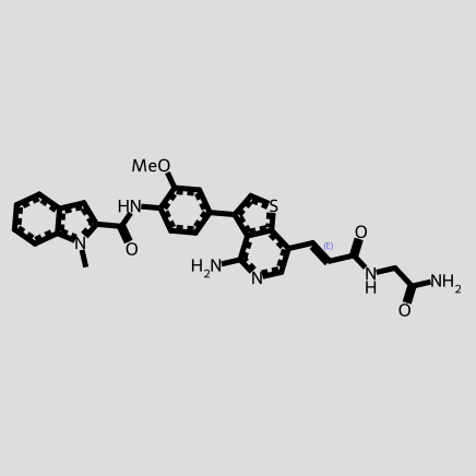 COc1cc(-c2csc3c(/C=C/C(=O)NCC(N)=O)cnc(N)c23)ccc1NC(=O)c1cc2ccccc2n1C